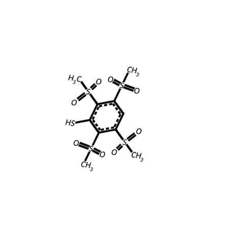 CS(=O)(=O)c1cc(S(C)(=O)=O)c(S(C)(=O)=O)c(S)c1S(C)(=O)=O